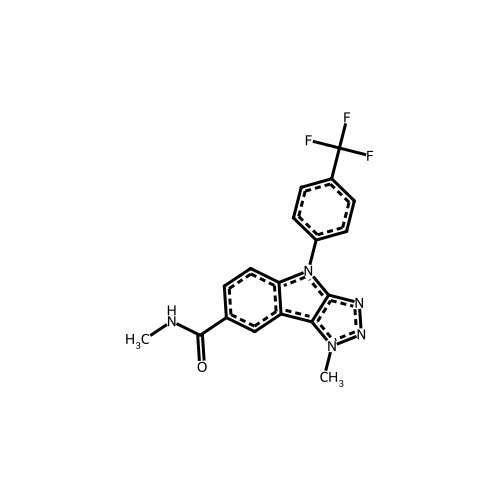 CNC(=O)c1ccc2c(c1)c1c(nnn1C)n2-c1ccc(C(F)(F)F)cc1